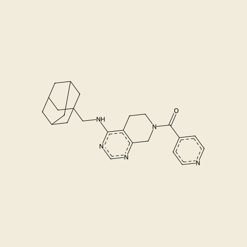 O=C(c1ccncc1)N1CCc2c(ncnc2NCC23CC4CC(CC(C4)C2)C3)C1